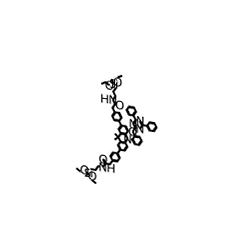 CCO[Si](C)(CCCNC(=O)Cc1ccc(-c2ccc3c(c2)C(C)(C)c2cc(-c4ccc(CC(=O)NCCC[Si](C)(OCC)OCC)cc4)ccc2N3c2ccccc2Oc2nc(-c3ccccc3)nc(-c3ccccc3)n2)cc1)OCC